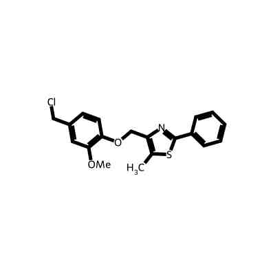 COc1cc(CCl)ccc1OCc1nc(-c2ccccc2)sc1C